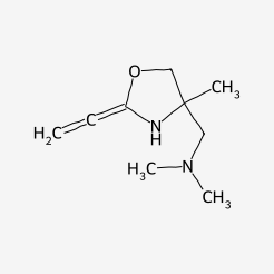 C=C=C1NC(C)(CN(C)C)CO1